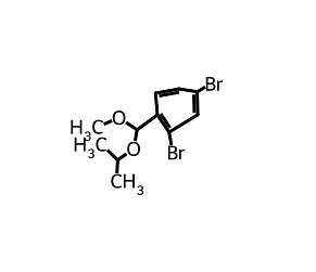 COC(OC(C)C)c1ccc(Br)cc1Br